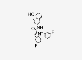 O=C(NC1=CC2=CCCC(O)C2N=C1)c1cc2cc(F)ccc2n1Cc1cccc(F)c1